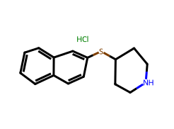 Cl.c1ccc2cc(SC3CCNCC3)ccc2c1